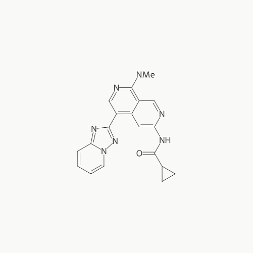 CNc1ncc(-c2nc3ccccn3n2)c2cc(NC(=O)C3CC3)ncc12